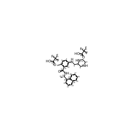 Cc1ccc(NCC2CNCCN2)cc1C(=O)N[C@H](C)c1cccc2ccccc12.O=C(O)C(F)(F)F.O=C(O)C(F)(F)F